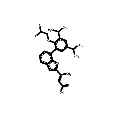 CC(=CC(=O)O)c1cc2cccc(-c3cc(C(C)C)cc(C(C)C)c3OCC(F)F)c2o1